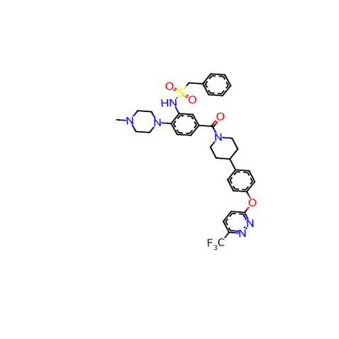 CN1CCN(c2ccc(C(=O)N3CCC(c4ccc(Oc5ccc(C(F)(F)F)nn5)cc4)CC3)cc2NS(=O)(=O)Cc2ccccc2)CC1